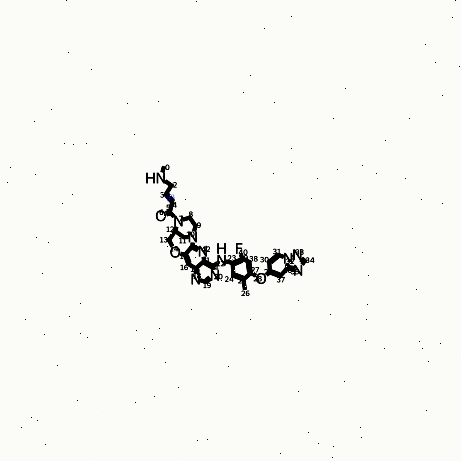 CNC/C=C/C(=O)N1CCN2CC1COc1cc3ncnc(Nc4cc(C)c(Oc5ccn6ncnc6c5)cc4F)c3nc12